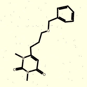 Cn1c(CCCOCc2ccccc2)cc(=O)n(C)c1=O